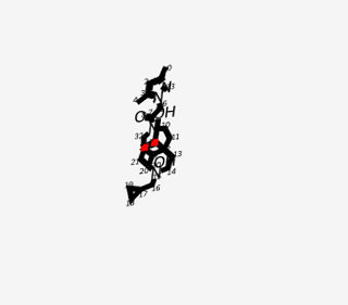 Cc1cc(C)n(CC(=O)N2CCC34CCN(CC5CC5)C(Cc5ccc(O)cc53)C4(O)CC2)n1